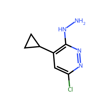 NNc1nnc(Cl)cc1C1CC1